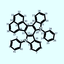 c1ccc(-n2c3ccccc3c3c2c2c(c4c5ccccc5n(-c5ccccc5)c43)-c3cccc4cccc-2c34)cc1